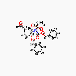 CS(=O)(=O)N(C(=O)OCc1ccccc1)c1cc(C2CO2)ccc1OCc1ccccc1